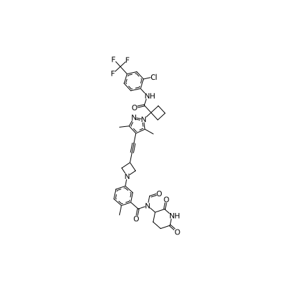 Cc1ccc(N2CC(C#Cc3c(C)nn(C4(C(=O)Nc5ccc(C(F)(F)F)cc5Cl)CCC4)c3C)C2)cc1C(=O)N(C=O)C1CCC(=O)NC1=O